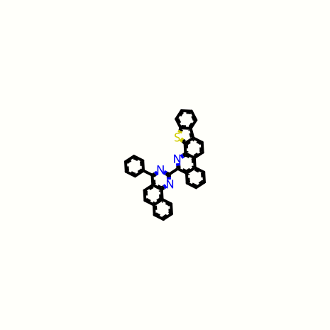 c1ccc(-c2nc(-c3nc4c(ccc5c6ccccc6sc54)c4ccccc34)nc3c2ccc2ccccc23)cc1